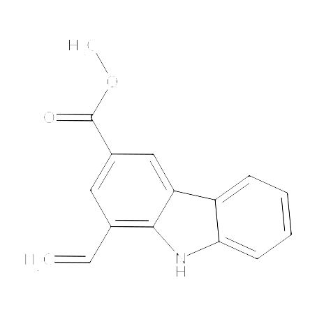 C=Cc1cc(C(=O)OC)cc2c1[nH]c1ccccc12